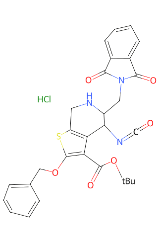 CC(C)(C)OC(=O)c1c(OCc2ccccc2)sc2c1C(N=C=O)C(CN1C(=O)c3ccccc3C1=O)NC2.Cl